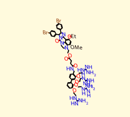 CCOc1cc(OC)c2c3c1C1=NC(c4ccc(Br)cc4)C(c4ccc(Br)cc4)N1C(=O)N3CCN2CCOC(=O)CCC(=O)NCc1ccc(-c2cccc(OCCNC(=N)N)c2OCCNC(=N)N)c(OCCNC(=N)N)c1OCCNC(=N)N